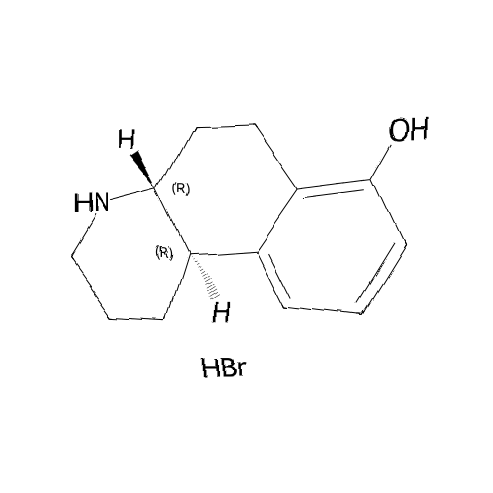 Br.Oc1cccc2c1CC[C@H]1NCCC[C@H]21